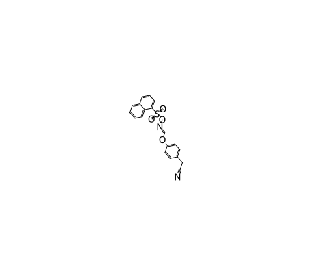 N#CCc1ccc(OC=NOS(=O)(=O)c2cccc3ccccc23)cc1